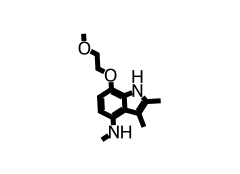 CNc1ccc(OCCOC)c2[nH]c(C)c(C)c12